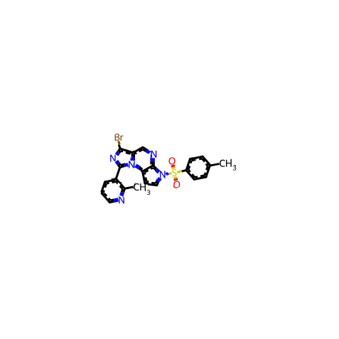 Cc1ccc(S(=O)(=O)n2ccc3c2ncc2c(Br)nc(-c4cccnc4C)n23)cc1